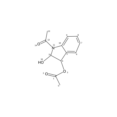 CC(=O)OC1c2ccccc2N(C(C)=O)C1O